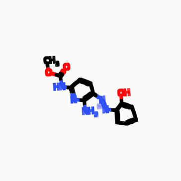 COC(=O)Nc1ccc(/N=N/c2ccccc2O)c(N)n1